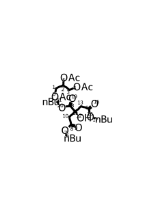 CC(=O)OCC(COC(C)=O)OC(C)=O.CCCCOC(=O)CC(O)(CC(=O)OCCCC)C(=O)OCCCC